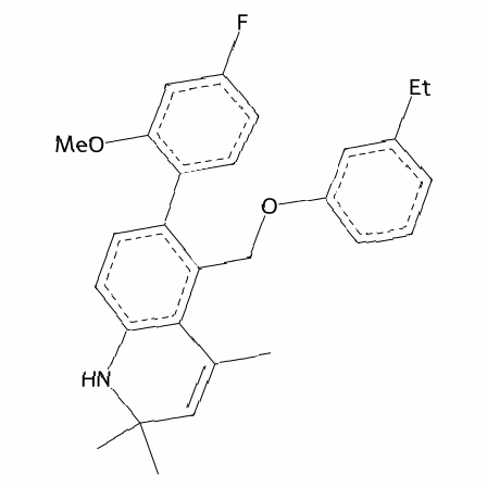 CCc1cccc(OCc2c(-c3ccc(F)cc3OC)ccc3c2C(C)=CC(C)(C)N3)c1